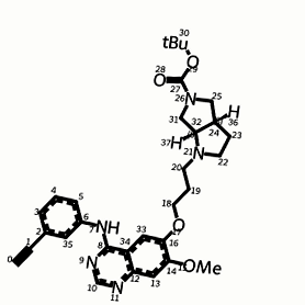 C#Cc1cccc(Nc2ncnc3cc(OC)c(OCCCN4CC[C@H]5CN(C(=O)OC(C)(C)C)C[C@H]54)cc23)c1